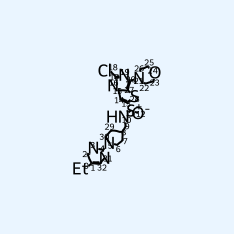 CCc1cnc(N2CCC(CN[S+]([O-])c3cc4nc(Cl)nc(N5CCOCC5)c4s3)CC2)nc1